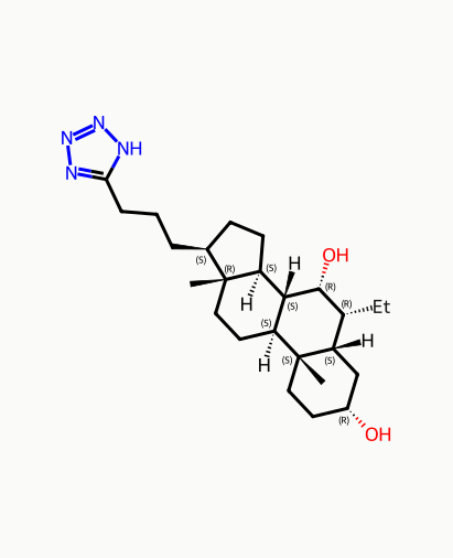 CC[C@H]1[C@@H](O)[C@@H]2[C@H](CC[C@]3(C)[C@@H](CCCc4nnn[nH]4)CC[C@@H]23)[C@@]2(C)CC[C@@H](O)C[C@@H]12